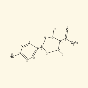 COC(=O)N1C(C)CN(c2ccc(S)cc2)CC1C